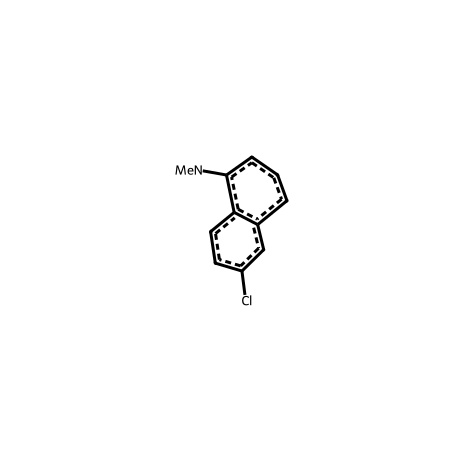 CNc1cccc2cc(Cl)ccc12